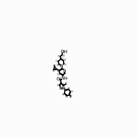 Cc1c(C(=O)Nc2cnc(N3CCC(CCO)CC3)c(C3CC3)c2)cnn1-c1ccc(F)cc1